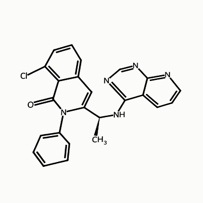 C[C@H](Nc1ncnc2ncccc12)c1cc2cccc(Cl)c2c(=O)n1-c1ccccc1